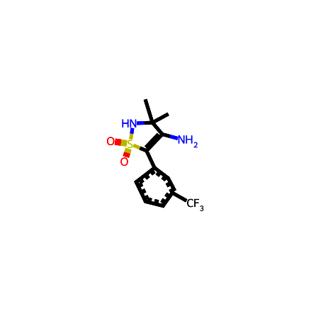 CC1(C)NS(=O)(=O)C(c2cccc(C(F)(F)F)c2)=C1N